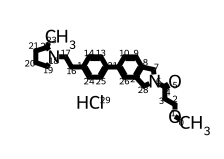 COCCC(=O)N1Cc2ccc(-c3ccc(CCN4CCCC4C)cc3)cc2C1.Cl